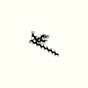 CCCCCCCCCCCCC(CCC)[N+](CCCC)(CCCC)CCCC.[Br-]